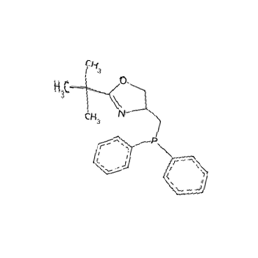 CC(C)(C)C1=NC(CP(c2ccccc2)c2ccccc2)CO1